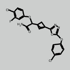 NC(=O)C(Oc1ccc(Cl)c(F)c1)C12CC(c3nnc(Oc4ccc(Cl)cc4)o3)(C1)C2